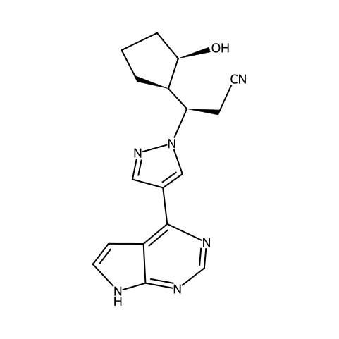 N#CC[C@H]([C@H]1CCC[C@H]1O)n1cc(-c2ncnc3[nH]ccc23)cn1